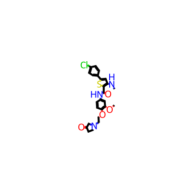 CNc1cc(-c2ccc(Cl)cc2)sc1C(=O)Nc1ccc(OCCN2CCC(=O)C2)c(OC)c1